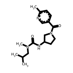 Cc1ccc(C(=O)N2CCC(NC(=O)N(C)CC(C)C)C2)cn1